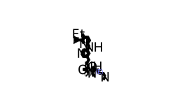 CCc1ccc(Nc2cncc(CCNC(=O)[C@H](C)N(C)C(=O)/C=C/CN(C)C)c2)nc1C1CC1